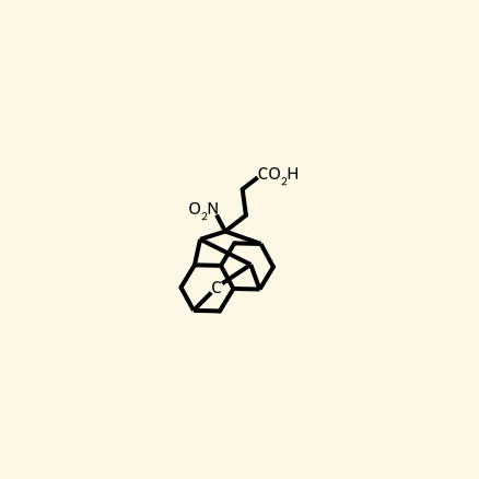 O=C(O)CCC1([N+](=O)[O-])C2CC3C4CC5CC3C1C(C5)C4C2